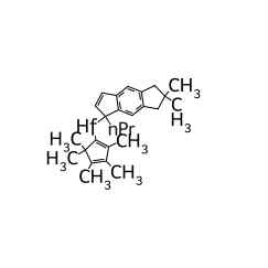 CCC[C]1([Hf][C]2=C(C)C(C)=C(C)C2(C)C)C=Cc2cc3c(cc21)CC(C)(C)C3